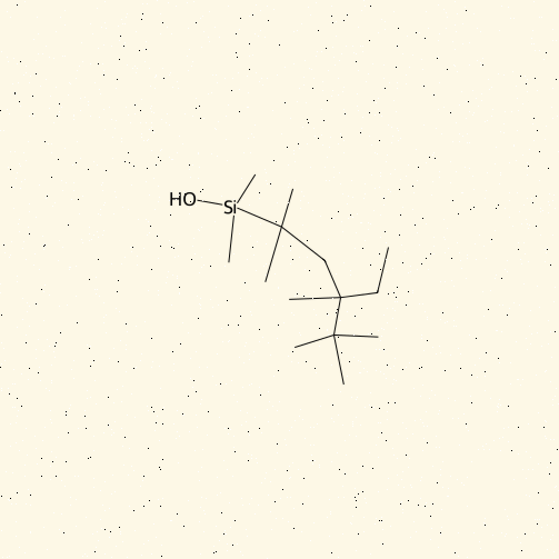 CCC(C)(CC(C)(C)[Si](C)(C)O)C(C)(C)C